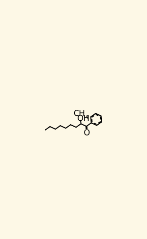 C.CCCCCCCC(O)C(=O)c1ccccc1